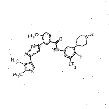 CCN1CCN(c2cc(NC(=O)c3ccc(C)c(-n4cc(-c5cnn(C)c5C)nn4)c3)cc(C(F)(F)F)c2F)CC1